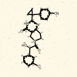 N#Cc1ccc(C2(c3nc4c(c(=O)[nH]3)CN(C(=O)[C@H](O)c3cccc(Cl)c3)CC4)CC2)cc1